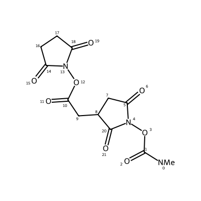 CNC(=O)ON1C(=O)CC(CC(=O)ON2C(=O)CCC2=O)C1=O